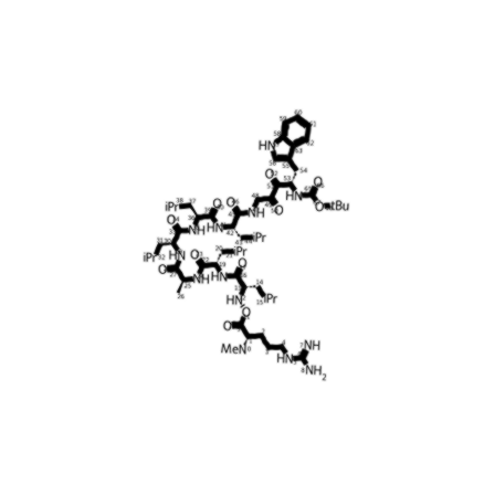 CN[C@@H](CCCNC(=N)N)C(=O)ON[C@@H](CC(C)C)C(=O)N[C@@H](CC(C)C)C(=O)N[C@@H](C)C(=O)N[C@@H](CC(C)C)C(=O)N[C@@H](CC(C)C)C(=O)N[C@@H](CC(C)C)C(=O)NCC(=O)C(=O)[C@H](Cc1c[nH]c2ccccc12)NC(=O)OC(C)(C)C